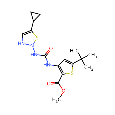 COC(=O)c1sc(C(C)(C)C)cc1NC(=O)NN1NC=C(C2CC2)S1